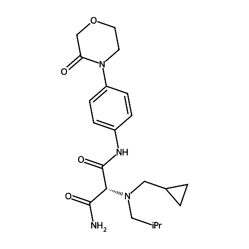 CC(C)CN(CC1CC1)[C@H](C(N)=O)C(=O)Nc1ccc(N2CCOCC2=O)cc1